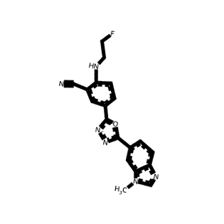 Cn1cnc2ccc(-c3nnc(-c4ccc(NCCF)c(C#N)c4)o3)cc21